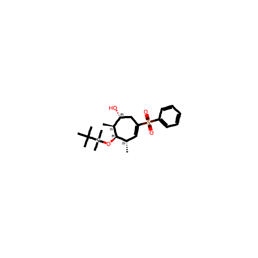 C[C@@H]1[C@H](O[Si](C)(C)C(C)(C)C)[C@@H](C)C=C(S(=O)(=O)c2ccccc2)C[C@H]1O